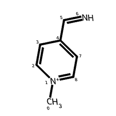 C[n+]1ccc(C=N)cc1